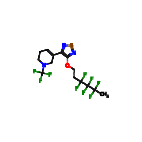 CC(F)(F)C(F)(F)C(F)(F)CCOc1nsnc1C1=CCCN(C(F)(F)F)C1